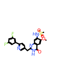 COc1cc2c(=O)[nH]c(Cc3ccc(-c4cc(F)cc(F)c4)nc3)nc2cc1NS(C)(=O)=O